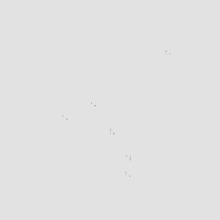 N[C@H]1CCc2cc(-n3c(-c4ccccc4)nc4ccc(-n5cccn5)nc43)ccc21